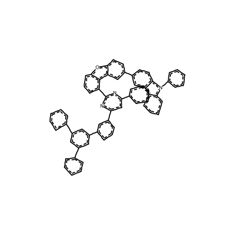 c1ccc(-c2cc(-c3ccccc3)cc(-c3cccc(-c4cc(-c5ccccc5)nc(-c5cccc6oc7ccc(-c8ccc9c(c8)c8ccccc8n9-c8ccccc8)cc7c56)n4)c3)c2)cc1